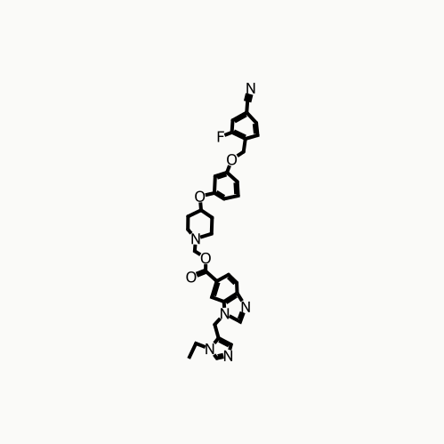 CCn1cncc1Cn1cnc2ccc(C(=O)OCN3CCC(Oc4cccc(OCc5ccc(C#N)cc5F)c4)CC3)cc21